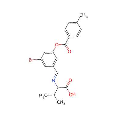 Cc1ccc(C(=O)Oc2cc(Br)cc(C=NC(C(=O)O)C(C)C)c2)cc1